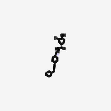 O=C(N/N=C/c1ccc(C#CCc2ccccc2)cc1)c1ccc(O)c(Cl)c1